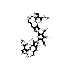 CCCCc1nn(-c2nc(-n3nc(CCCC)c(/N=N/c4c(C(=O)OC)cnn4C)c3N)c(C#N)c(C)c2C#N)cc1/N=N/c1c(C(=O)OC)cnn1C